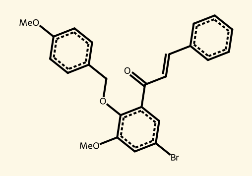 COc1ccc(COc2c(OC)cc(Br)cc2C(=O)/C=C/c2ccccc2)cc1